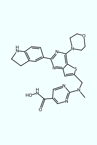 CN(Cc1cc2nc(-c3ccc4c(c3)CCN4)nc(N3CCOCC3)c2s1)c1ncc(C(=O)NO)cn1